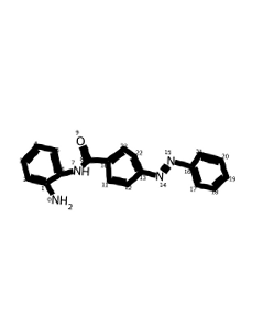 Nc1ccccc1NC(=O)c1ccc(/N=N/c2ccccc2)cc1